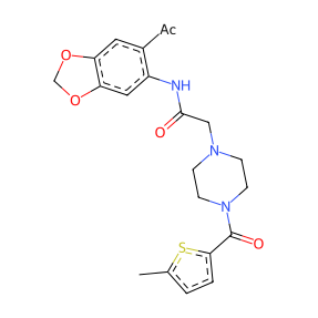 CC(=O)c1cc2c(cc1NC(=O)CN1CCN(C(=O)c3ccc(C)s3)CC1)OCO2